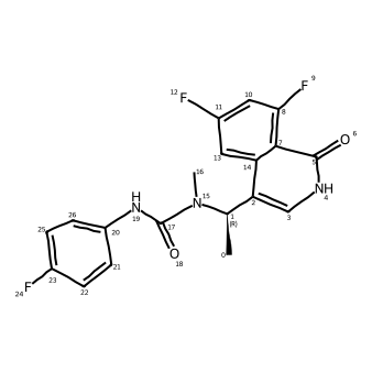 C[C@H](c1c[nH]c(=O)c2c(F)cc(F)cc12)N(C)C(=O)Nc1ccc(F)cc1